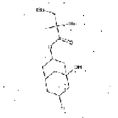 CCC1CC2CC(OC(=O)C(C)(CC(C)(C)C)C(C)(C)C)CC(O)(C1)C2